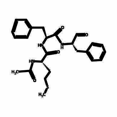 CSCC[C@H](NC(C)=O)C(=O)N[C@@H](Cc1ccccc1)C(=O)N[C@H](C=O)Cc1ccccc1